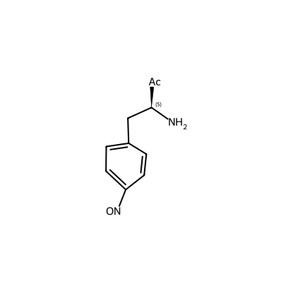 CC(=O)[C@@H](N)Cc1ccc(N=O)cc1